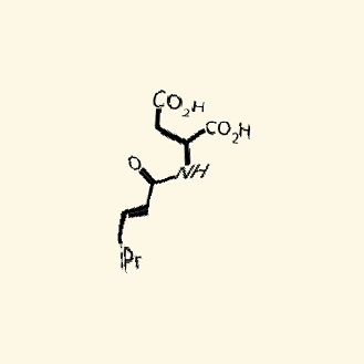 CC(C)/C=C/C(=O)NC(CC(=O)O)C(=O)O